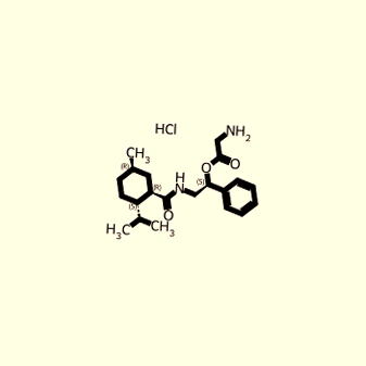 CC(C)[C@@H]1CC[C@@H](C)C[C@H]1C(=O)NC[C@@H](OC(=O)CN)c1ccccc1.Cl